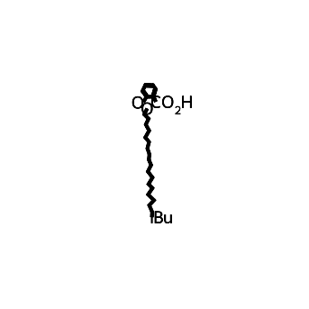 CCC(C)CCCCCCCCCCCCCCCCCCOC(=O)c1ccccc1C(=O)O